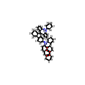 c1ccc(-c2ccc(-c3ccccc3N(c3ccc4c(c3)C3(c5ccccc5-4)c4ccccc4N(c4ccccc4)c4ccccc43)c3ccc4ccccc4c3)cc2)cc1